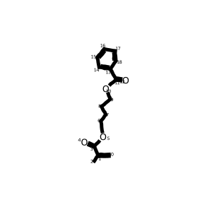 C=C(C)C(=O)OCCCCOC(=O)c1ccccc1